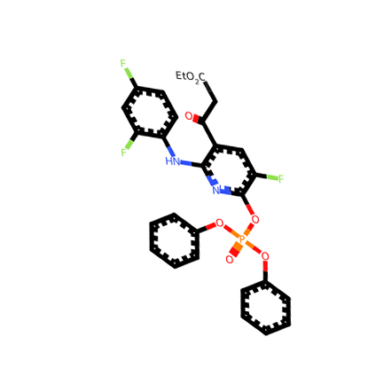 CCOC(=O)CC(=O)c1cc(F)c(OP(=O)(Oc2ccccc2)Oc2ccccc2)nc1Nc1ccc(F)cc1F